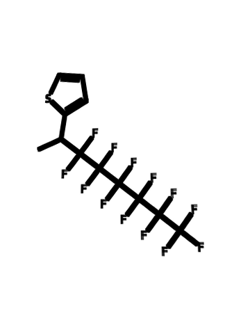 CC(c1cccs1)C(F)(F)C(F)(F)C(F)(F)C(F)(F)C(F)(F)C(F)(F)F